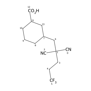 N#CC(C#N)(CCC(F)(F)F)CC1CCCC(C(=O)O)C1